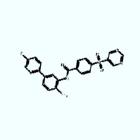 Nc1ccc(-c2ccc(F)cc2)cc1NC(=O)c1ccc(S(=O)(=O)c2cncnc2)cc1